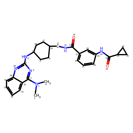 CN(C)c1nc(NC2CCC(CNC(=O)c3cccc(NC(=O)C4CC4)c3)CC2)nc2ccccc12